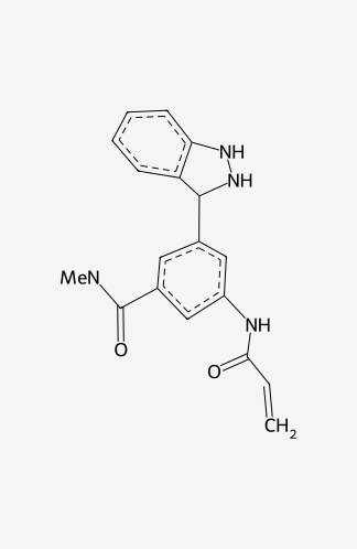 C=CC(=O)Nc1cc(C(=O)NC)cc(C2NNc3ccccc32)c1